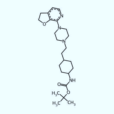 CC(C)(C)OC(=O)NC1CCC(CCN2CCN(c3nccc4c3OCC4)CC2)CC1